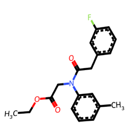 CCOC(=O)CN(C(=O)Cc1cccc(F)c1)c1cccc(C)c1